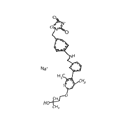 Cc1cc(OCCC(C)(C)O)nc(C)c1-c1cccc(CNc2ccc(Cn3oc(=O)[n-]c3=O)cc2)c1.[Na+]